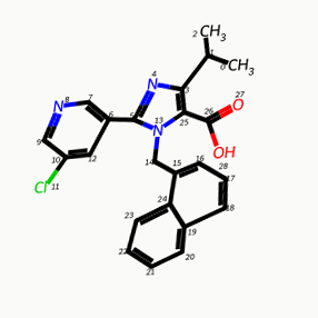 CC(C)c1nc(-c2cncc(Cl)c2)n(Cc2cccc3ccccc23)c1C(=O)O